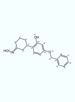 ON=C1CCCC(c2ccc(OCc3ccccc3)cc2O)C1